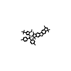 CCC1C=C(C(C)(C)C)C=[C]1[Zn]([C]1=C(C)c2cc3c(cc2C1(C)C)Cc1cc2c(cc1-3)C(C)=CC2(C)C)=[C](c1ccc(C)cc1)c1ccc(C)cc1